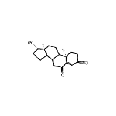 CC(C)[C@H]1CCC2C3CC(=O)C4=CC(=O)CC[C@]4(C)C3CC[C@@]21C